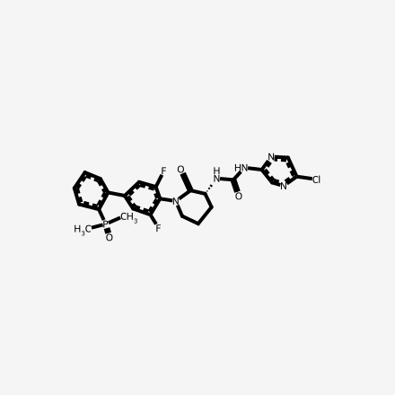 CP(C)(=O)c1ccccc1-c1cc(F)c(N2CCC[C@@H](NC(=O)Nc3cnc(Cl)cn3)C2=O)c(F)c1